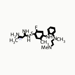 CNCCN(C)c1ccccc1Nc1cc(F)c(SNC(=N)/C=C(/C)N)cc1C